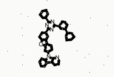 c1ccc(-c2cccc(-c3nc(-c4ccccc4)nc(-c4ccc5oc6cc(-n7c8ccccc8c8cccnc87)ccc6c5c4)n3)c2)cc1